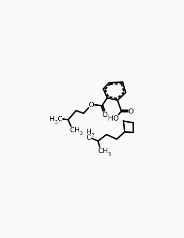 CC(C)CCC1CCC1.CC(C)CCOC(=O)c1ccccc1C(=O)O